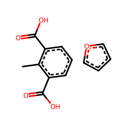 Cc1c(C(=O)O)cccc1C(=O)O.c1ccoc1